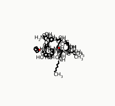 CCCCCCCCNC(=O)NC(=O)C[C@@H]1NC(=O)[C@H](NC(=O)[C@@H](CC(C)C)NC)[C@H](O)c2ccc(c(Cl)c2)Oc2cc3cc(c2O)Oc2ccc(cc2)[C@@H](OC2CC(C)(N)C(O)C(C)O2)[C@@H]2NC(=O)[C@H](NC(=O)[C@@H]3NC1=O)c1ccc(O)c(c1)-c1c(O)cc(O)cc1[C@@H](C(=O)NC1C3CC4CC(C3)CC1C4)NC2=O